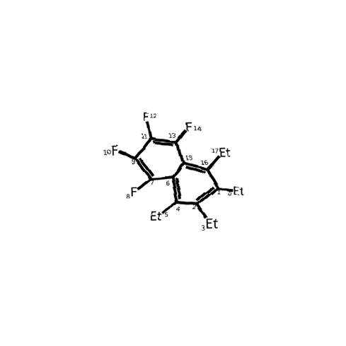 CCc1c(CC)c(CC)c2c(F)c(F)c(F)c(F)c2c1CC